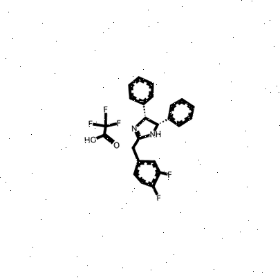 Fc1ccc(CC2=N[C@H](c3ccccc3)[C@H](c3ccccc3)N2)cc1F.O=C(O)C(F)(F)F